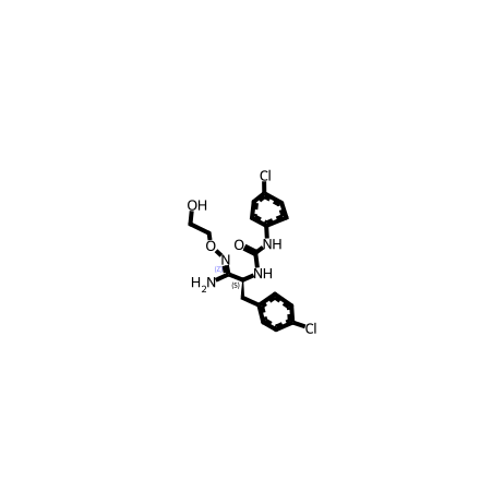 N/C(=N\OCCO)[C@H](Cc1ccc(Cl)cc1)NC(=O)Nc1ccc(Cl)cc1